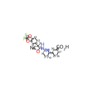 Cc1ccc(NC(=O)C(C)(C#N)c2ccc3c(c2)OC(F)(F)O3)nc1-c1cccc(C(=O)O)c1